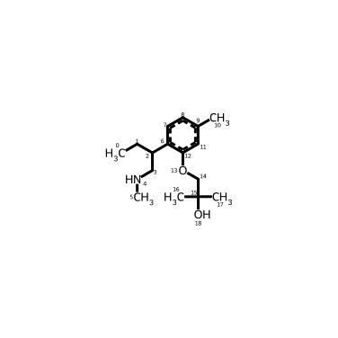 CCC(CNC)c1ccc(C)cc1OCC(C)(C)O